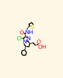 O=C(O)C=Cc1cc(-c2ccccc2)cn2c(Cl)c(C(=O)NCc3cccs3)nc12